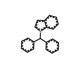 [c]1cccc2c1ccn2C(c1ccccc1)c1ccccc1